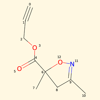 C#CCOC(=O)C1(C)CC(C)=NO1